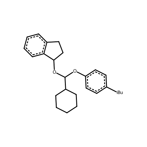 CCC(C)c1ccc(OC(OC2CCc3ccccc32)C2CCCCC2)cc1